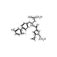 O=C(O)Cn1nc(C(=O)NN(Cc2ccc(-c3cc(Cl)ccc3F)cc2)C[C@@H](O)C(=O)O)cc1C1CC1